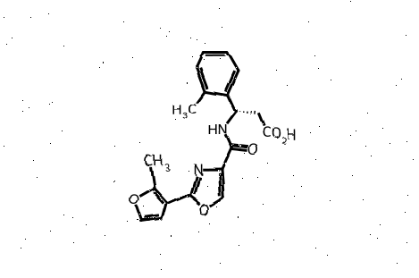 Cc1ccccc1[C@H](CC(=O)O)NC(=O)c1coc(-c2ccoc2C)n1